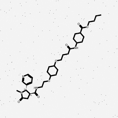 CCCCOC(=O)C1CCC(NC(=O)CCCOC2CCC(OCCNC(=O)[C@H]3CC(=O)N(C)[C@@H]3c3cccnc3)CC2)CC1